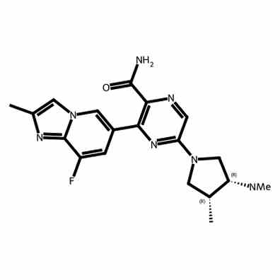 CN[C@H]1CN(c2cnc(C(N)=O)c(-c3cc(F)c4nc(C)cn4c3)n2)C[C@H]1C